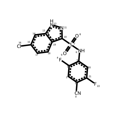 N#Cc1cc(F)c(NS(=O)(=O)c2n[nH]c3cc(Cl)ccc23)cc1F